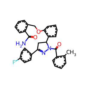 Cc1ccccc1C(=O)N1N=C(c2ccc(F)cc2)CC1c1ccccc1OCc1ccccc1C(N)=O